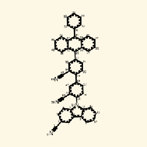 N#Cc1ccc2c(c1)c1ccccc1n2-c1ccc(-c2ccc(-c3c4ccccc4c(-c4ccccc4)c4ccccc34)cc2C#N)cc1C#N